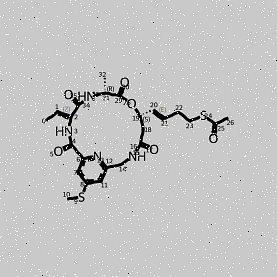 C/C=C1\NC(=O)c2cc(SC)cc(n2)CNC(=O)C[C@@H](/C=C/CCSC(C)=O)OC(=O)[C@@H](C)NC1=O